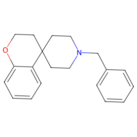 c1ccc(CN2CCC3(CCOc4ccccc43)CC2)cc1